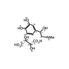 CNCC(O)c1ccc(O)c(O)c1.O=C(O)[C@H](O)[C@@H](O)C(=O)O